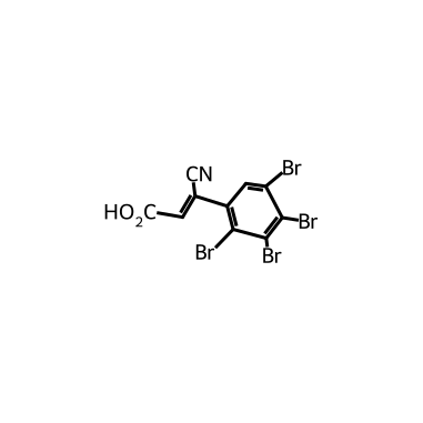 N#CC(=CC(=O)O)c1cc(Br)c(Br)c(Br)c1Br